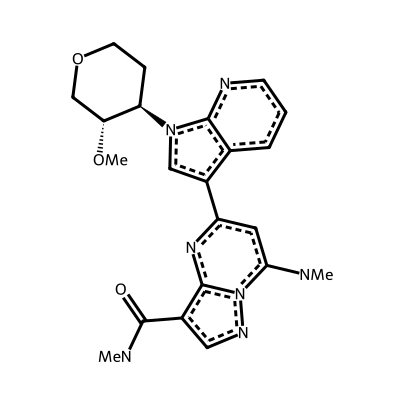 CNC(=O)c1cnn2c(NC)cc(-c3cn([C@@H]4CCOC[C@H]4OC)c4ncccc34)nc12